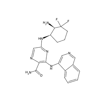 NC(=O)c1ncc(N[C@@H]2CCCC(F)(F)[C@@H]2N)nc1Nc1cncc2ccccc12